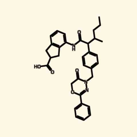 CCCC(C)C(C(=O)Nc1cccc2c1CC(C(=O)O)C2)c1ccc(CN2N=C(c3ccccc3)OCC2=O)cc1